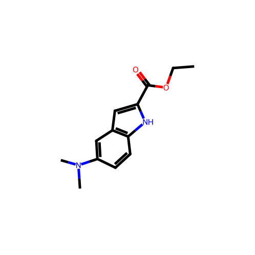 CCOC(=O)c1cc2cc(N(C)C)ccc2[nH]1